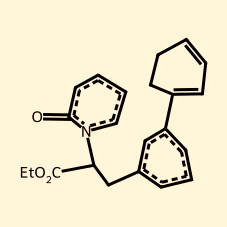 CCOC(=O)C(Cc1cccc(C2=CC=CCC2)c1)n1ccccc1=O